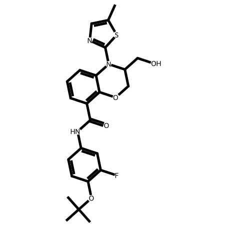 Cc1cnc(N2c3cccc(C(=O)Nc4ccc(OC(C)(C)C)c(F)c4)c3OCC2CO)s1